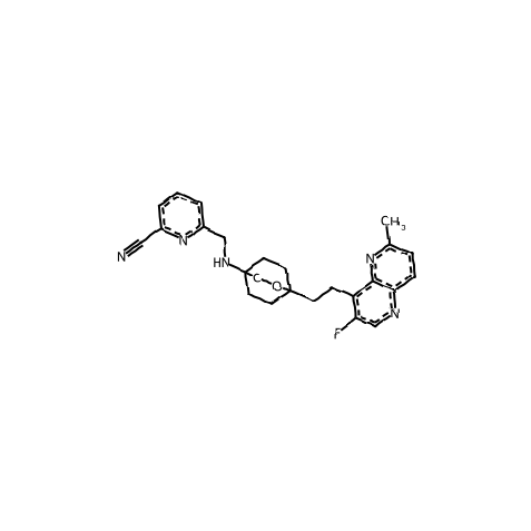 Cc1ccc2ncc(F)c(CCC34CCC(NCc5cccc(C#N)n5)(CC3)CO4)c2n1